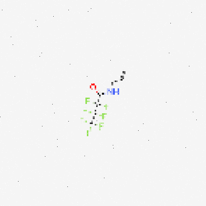 C=CCNC(=O)C(F)(F)C(F)(F)C(F)(F)F